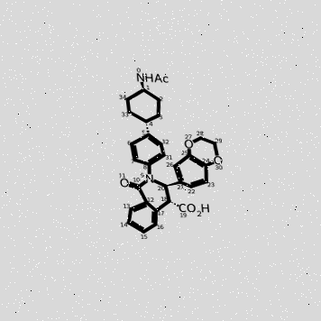 CC(=O)N[C@H]1CC[C@H](c2ccc(N3C(=O)c4ccccc4[C@@H](C(=O)O)[C@@H]3c3ccc4c(c3)OCCO4)cc2)CC1